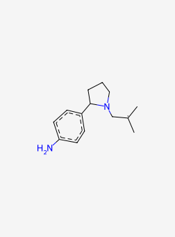 C[C](C)CN1CCCC1c1ccc(N)cc1